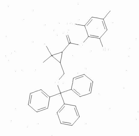 Cc1cc(C(C)(C)C)c(OC(=O)C2C(COC(c3ccccc3)(c3ccccc3)c3ccccc3)C2(C)C)c(C(C)(C)C)c1